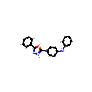 c1ccc(Nc2ccc(-c3nnc(-c4ccccc4)o3)cc2)cc1